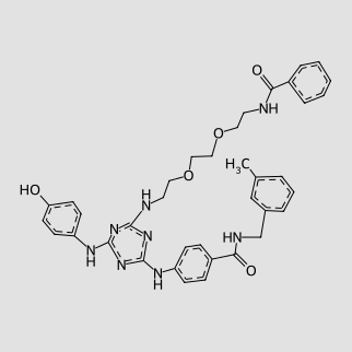 Cc1cccc(CNC(=O)c2ccc(Nc3nc(NCCOCCOCCNC(=O)c4ccccc4)nc(Nc4ccc(O)cc4)n3)cc2)c1